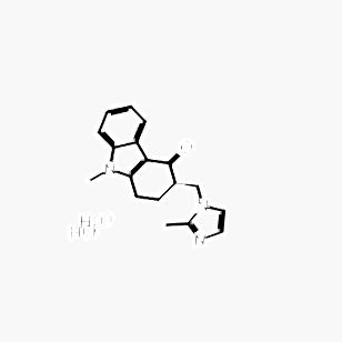 Cc1nccn1C[C@H]1CCc2c(c3ccccc3n2C)C1=O.Cl.O